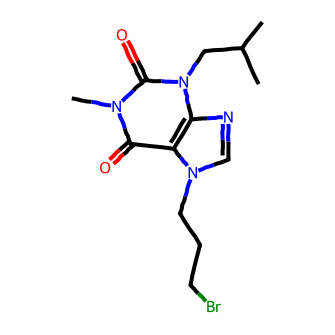 CC(C)Cn1c(=O)n(C)c(=O)c2c1ncn2CCCBr